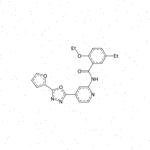 CCOc1ccc(CC)cc1C(=O)Nc1cc(-c2nnc(-c3ccco3)o2)ccn1